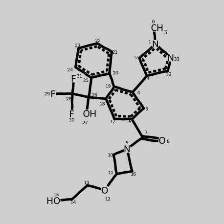 Cn1cc(-c2cc(C(=O)N3CC(OCCO)C3)cc3c2-c2ccccc2C3(O)C(F)(F)F)cn1